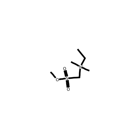 CC[N+](C)(C)CS(=O)(=O)OC